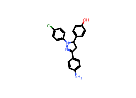 Nc1ccc(C2=NN(c3ccc(Cl)cc3)C(c3ccc(O)cc3)C2)cc1